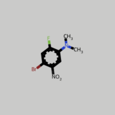 CN(C)c1cc([N+](=O)[O-])c(Br)cc1F